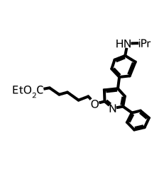 CCOC(=O)CCCCCOc1cc(-c2ccc(NC(C)C)cc2)cc(-c2ccccc2)n1